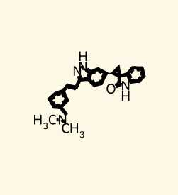 CN(C)Cc1cccc(/C=C/c2n[nH]c3cc([C@@H]4CC45C(=O)Nc4ccccc45)ccc23)c1